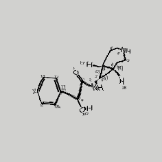 O=C(N[C@H]1[C@@H]2CNC[C@@H]21)C(O)c1ccccc1